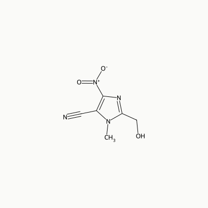 Cn1c(CO)nc([N+](=O)[O-])c1C#N